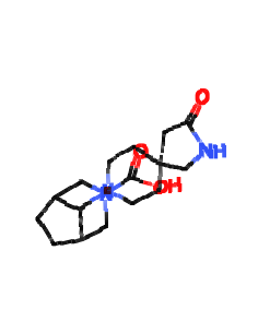 O=C1CC2(CCN(C3C4CCC3CN(C(=O)O)C4)CC2)CN1